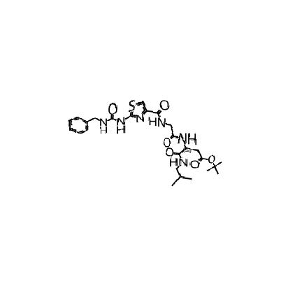 CC(C)CNC(=O)[C@H](CC(=O)OC(C)(C)C)NC(=O)CNC(=O)c1csc(NC(=O)NCc2ccccc2)n1